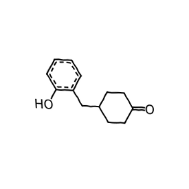 O=C1CCC(Cc2ccccc2O)CC1